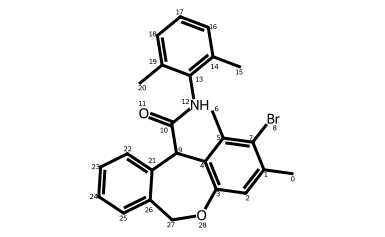 Cc1cc2c(c(C)c1Br)C(C(=O)Nc1c(C)cccc1C)c1ccccc1CO2